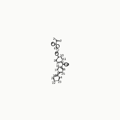 C=C(C)C(=O)OCCOc1ccc(C(=O)c2ccc(-c3ccccc3)cc2)cc1